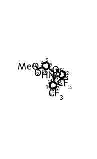 COC(=O)c1cccc(C(=O)N[C@@H](c2ccc(C(F)(F)F)cc2)c2ncccc2C(F)(F)F)c1